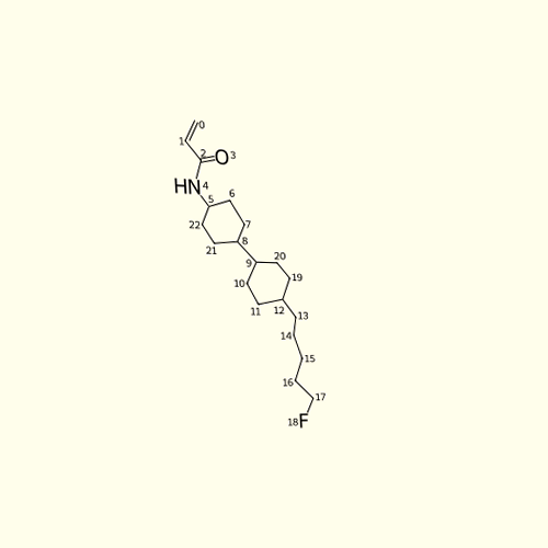 C=CC(=O)NC1CCC(C2CCC(CCCCCF)CC2)CC1